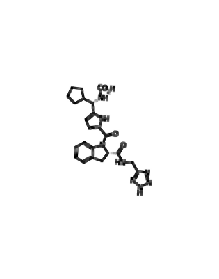 O=C(O)N[C@H](c1ccc(C(=O)N2c3ccccc3C[C@H]2C(=O)NCc2nn[nH]n2)[nH]1)C1CCCC1